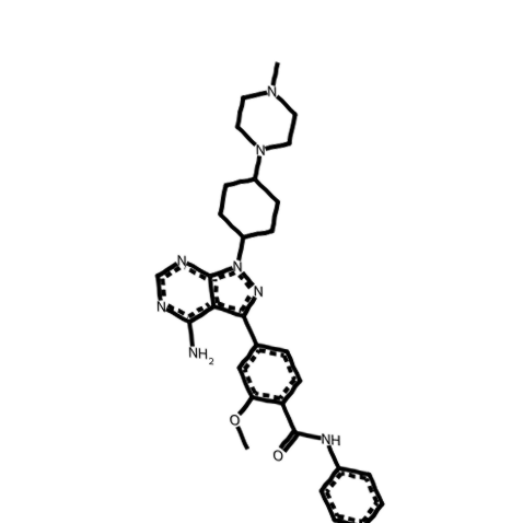 COc1cc(-c2nn(C3CCC(N4CCN(C)CC4)CC3)c3ncnc(N)c23)ccc1C(=O)Nc1ccccc1